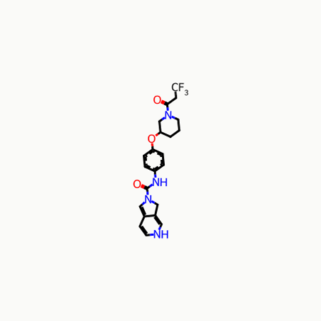 O=C(Nc1ccc(OC2CCCN(C(=O)CC(F)(F)F)C2)cc1)N1C=C2C=CNC=C2C1